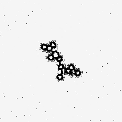 c1ccc(-n2c3ccc(-c4ccc5c(c4)-c4ccccc4C(c4cc6ccccc6c6ccccc46)CC5)cc3c3c4cccc5c4c(cc32)Sc2ccccc2-5)cc1